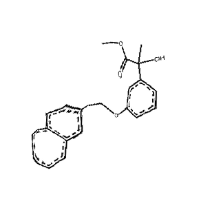 COC(=O)C(C)(O)c1cccc(OCc2ccc3ccccc3c2)c1